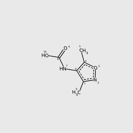 Cc1noc(C)c1NC(=O)O